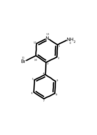 Nc1cc(-c2ccccc2)c(Br)cn1